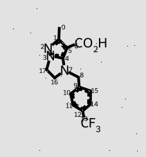 Cc1nn2c(c1C(=O)O)N(Cc1ccc(C(F)(F)F)cc1)CC2